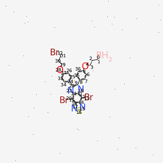 BCCCOc1ccc(-c2nc3c(Br)c4nsnc4c(Br)c3nc2-c2ccc(OCCCBr)cc2)cc1